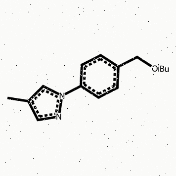 Cc1cnn(-c2ccc(COCC(C)C)cc2)c1